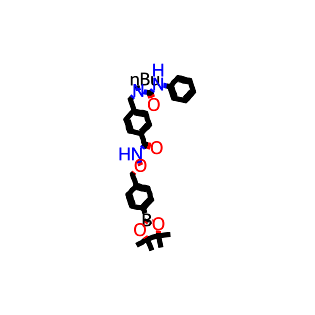 CCCCN(Cc1ccc(C(=O)NOCc2ccc(B3OC(C)(C)C(C)(C)O3)cc2)cc1)C(=O)Nc1ccccc1